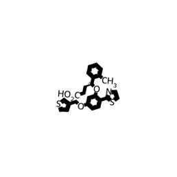 Cc1ccccc1[C@H](CCC(=O)O)Oc1cc(OCc2ccsc2)ccc1-c1nccs1